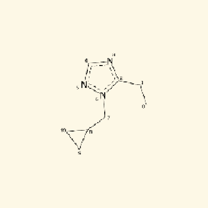 CCc1ncnn1CC1CC1